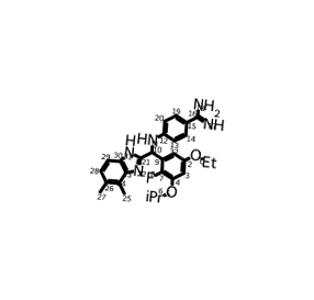 CCOc1cc(OC(C)C)c(F)c(C(Nc2ccc(C(=N)N)cc2)c2nc3c(C)c(C)ccc3[nH]2)c1